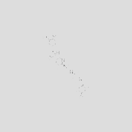 Cc1cc(C(=O)NCc2ccc(Cl)c(Cl)c2)cnc1N1CCN(C2CCN(Cc3ccc(Cl)cc3)CC2)CC1